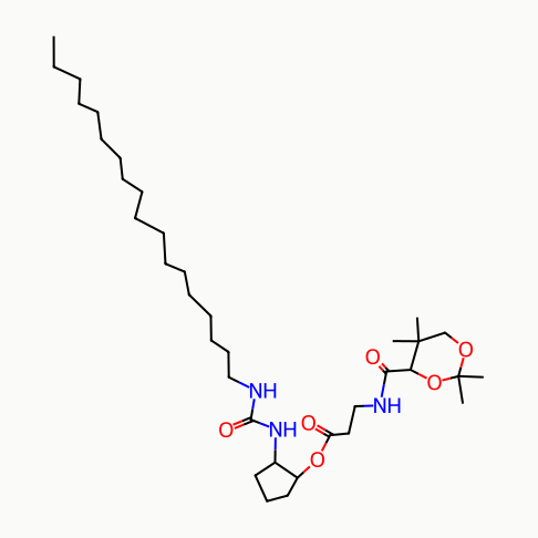 CCCCCCCCCCCCCCCCCCNC(=O)NC1CCCC1OC(=O)CCNC(=O)C1OC(C)(C)OCC1(C)C